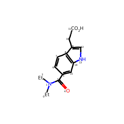 CCN(CC)C(=O)c1ccc2c(CC(=O)O)c[nH]c2c1